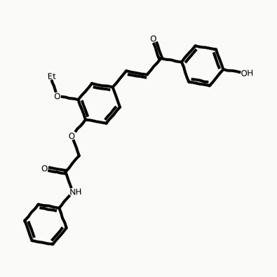 CCOc1cc(/C=C/C(=O)c2ccc(O)cc2)ccc1OCC(=O)Nc1ccccc1